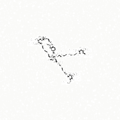 C#CCCCP(OC1CCC(C(=O)NC(CCC(=O)NCCOCCOCCOC2OC(COC(C)=O)C(OC(C)=O)C(OC(C)=O)C2NC(C)=O)C(=O)N(CC(=O)NCCOCCOCCOC2OC(COC(C)=O)C(OC(C)=O)C(OC(C)=O)C2NC(C)=O)CC(=O)NCCOCCOCCOC2OC(COC(C)=O)C(OC(C)=O)C(OC(C)=O)C2NC(C)=O)CC1)N(C(C)C)C(C)C